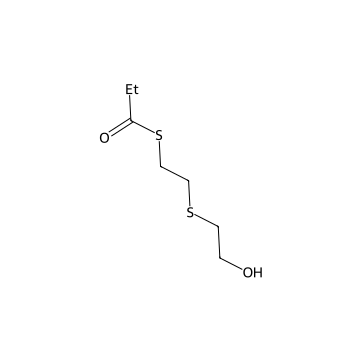 CCC(=O)SCCSCCO